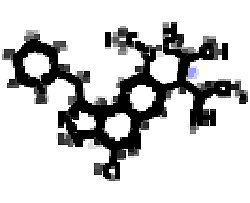 COc1cc2c(cc1/C(C(C)=N)=C(\C)O)nc(Cl)c1nnc(Cc3ccccn3)n12